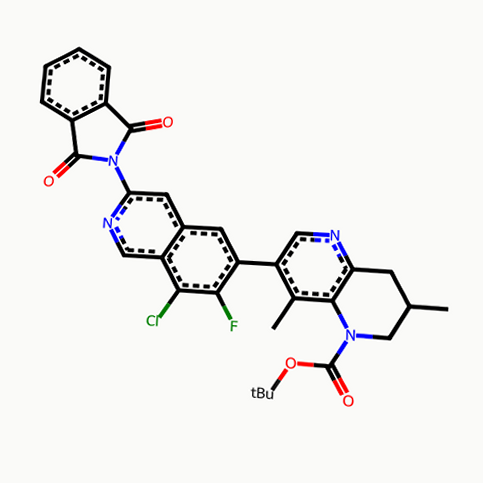 Cc1c(-c2cc3cc(N4C(=O)c5ccccc5C4=O)ncc3c(Cl)c2F)cnc2c1N(C(=O)OC(C)(C)C)CC(C)C2